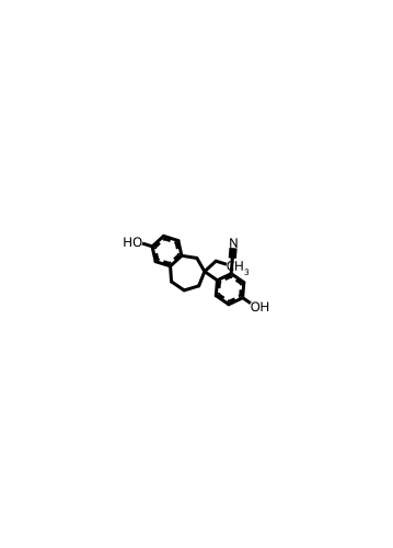 CCC1(c2ccc(O)cc2C#N)CCCc2cc(O)ccc2C1